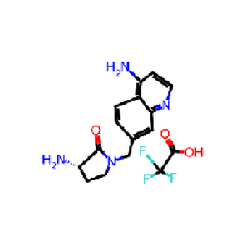 Nc1ccnc2cc(CN3CC[C@H](N)C3=O)ccc12.O=C(O)C(F)(F)F